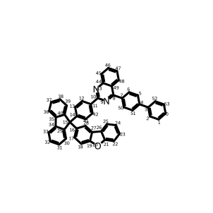 c1ccc(-c2ccc(-c3nc(-c4ccc(C5(c6ccc7oc8ccccc8c7c6)c6ccccc6-c6ccccc65)cc4)nc4ccccc34)cc2)cc1